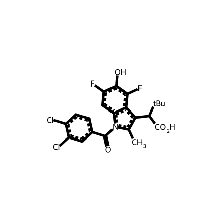 Cc1c(C(C(=O)O)C(C)(C)C)c2c(F)c(O)c(F)cc2n1C(=O)c1ccc(Cl)c(Cl)c1